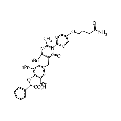 CCCCc1nc(C)n(-c2ncc(OCCCC(N)=O)cn2)c(=O)c1Cc1cc(CCC)c(OC(C(=O)O)c2ccccc2)c(CCC)c1